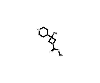 CC(C)(C)OC(=O)N1CC(O)(C2CCNCC2)C1